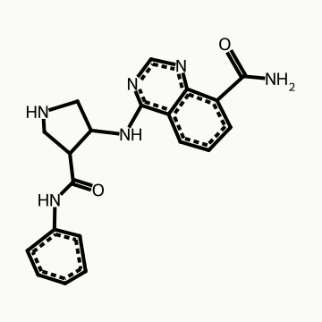 NC(=O)c1cccc2c(NC3CNCC3C(=O)Nc3ccccc3)ncnc12